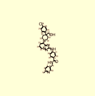 Cc1ccc(CNC(=O)c2ccc(Nc3nc4c(N5CCC(CO)(c6ccc(Cl)cc6)CC5)cccn4n3)cc2)cn1